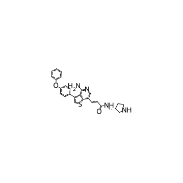 Nc1ncc(C=CC(=O)NC[C@@H]2CCNC2)c2scc(-c3ccc(Oc4ccccc4)cc3)c12